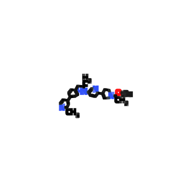 C=C(Cc1ccc(-c2ccnc(C)c2)cc1)Nc1ccc(C2=CCN(C(=C)OC(C)(C)C)CC2)nc1